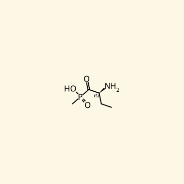 CC[C@H](N)C(=O)P(C)(=O)O